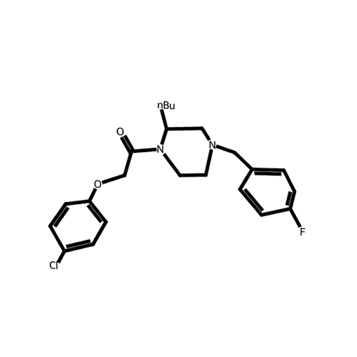 CCCCC1CN(Cc2ccc(F)cc2)CCN1C(=O)COc1ccc(Cl)cc1